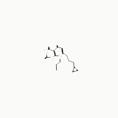 CCCCn1c(CCCC2CC2)cc(=O)c2c(=O)[nH]c(=O)[nH]c21